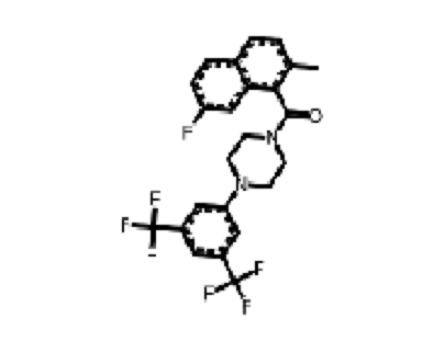 Cc1ccc2ccc(F)cc2c1C(=O)N1CCN(c2cc(C(F)(F)F)cc(C(F)(F)F)c2)CC1